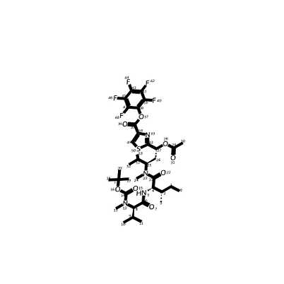 CC[C@H](C)[C@H](NC(=O)[C@@H](C(C)C)N(C)C(=O)OC(C)(C)C)C(=O)N(C)[C@H](C[C@@H](OC(C)=O)c1nc(C(=O)Oc2c(F)c(F)c(F)c(F)c2F)cs1)C(C)C